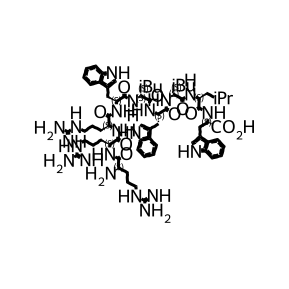 CC[C@H](C)[C@H](NC(=O)[C@H](Cc1c[nH]c2ccccc12)NC(=O)[C@@H](NC(=O)[C@H](Cc1c[nH]c2ccccc12)NC(=O)[C@H](CCCNC(=N)N)NC(=O)[C@H](CCCNC(=N)N)NC(=O)[C@@H](N)CCCNC(=N)N)[C@@H](C)CC)C(=O)N[C@@H](CC(C)C)C(=O)N[C@@H](Cc1c[nH]c2ccccc12)C(=O)O